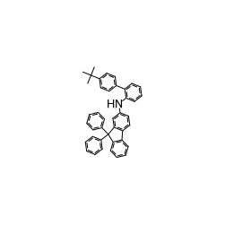 CC(C)(C)c1ccc(-c2ccccc2Nc2ccc3c(c2)C(c2ccccc2)(c2ccccc2)c2ccccc2-3)cc1